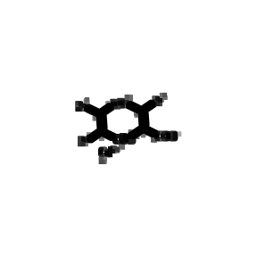 O=C([O-])C(Br)=C(Br)Br.O=C([O-])C(Br)=C(Br)Br.[Cd+2]